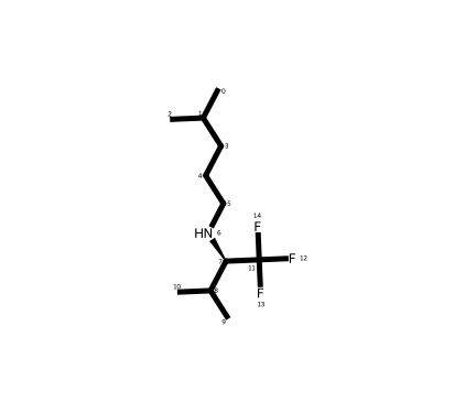 CC(C)CCCN[C@H](C(C)C)C(F)(F)F